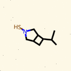 CC(C)C1CC2CN(S)CC21